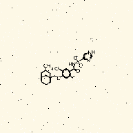 CC1CC2CCCC(COc3cc(F)c(C(=O)NS(=O)(=O)c4c[nH]cn4)cc3Cl)(C1)C2